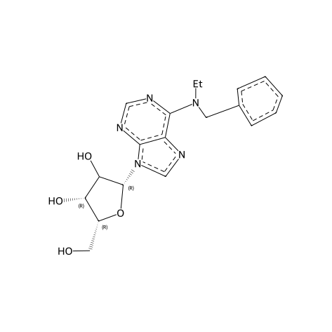 CCN(Cc1ccccc1)c1ncnc2c1ncn2[C@@H]1O[C@H](CO)[C@H](O)C1O